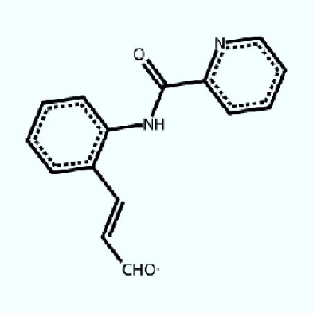 O=[C]/C=C/c1ccccc1NC(=O)c1ccccn1